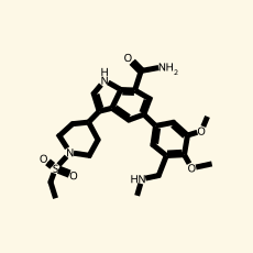 CCS(=O)(=O)N1CCC(c2c[nH]c3c(C(N)=O)cc(-c4cc(CNC)c(OC)c(OC)c4)cc23)CC1